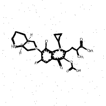 O=C(O)Oc1c(CC(O)C(=O)O)n(C2CC2)c2c(Cl)c(N3C[C@@H]4CCCN[C@@H]4C3)c(F)cc2c1=O